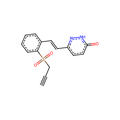 C#CCS(=O)(=O)c1ccccc1C=Cc1ccc(=O)[nH]n1